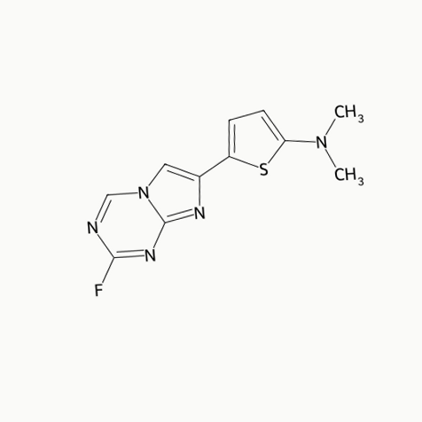 CN(C)c1ccc(-c2cn3cnc(F)nc3n2)s1